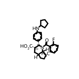 Cc1cccc(F)c1C(=O)N1[C@@H]2CCC[C@@H]2C[C@H](C(=O)O)[C@@H]1c1ccc(NC2CCCC2)cc1